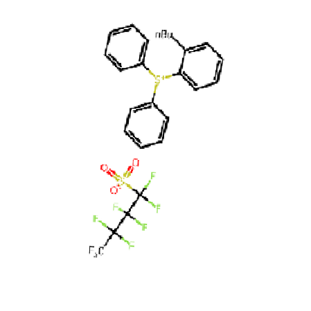 CCCCc1ccccc1[S+](c1ccccc1)c1ccccc1.O=S(=O)([O-])C(F)(F)C(F)(F)C(F)(F)C(F)(F)F